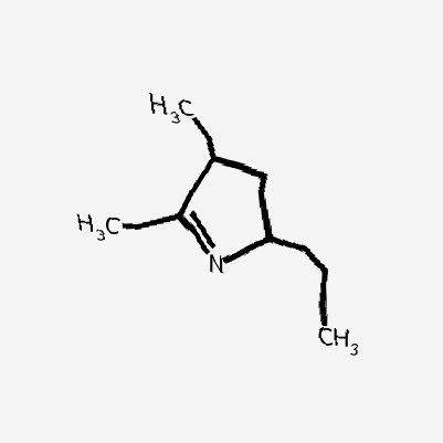 CCC1CC(C)C(C)=N1